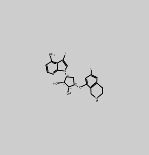 Nc1ccnc2c1c(F)cn2[C@@H]1C[C@H](Oc2cc(F)cc3c2CNCC3)[C@@H](O)[C@H]1O